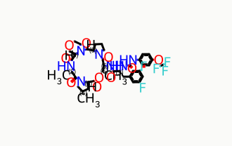 C[C@H]1C[C@H]2C(=O)O[C@@H](C)[C@H](NC(=O)[C@H](Cc3cc(F)cc(F)c3)NC(=O)Nc3ccc(OC(F)(F)F)cc3)C(=O)N3CCC[C@H]3C(=O)N3CCOC[C@H]3C(=O)N[C@@H](C)C(=O)N2C1